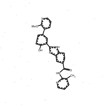 COc1ncccc1-c1ccc(O)c(-c2nc3cc(C(=O)Nc4ncccc4C)ccc3[nH]2)c1